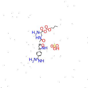 CCCCOC(=O)OC(=O)C(N)CNC(=O)C[C@H]1C[C@@H](c2ccc(C(=N)N)cc2)NO1.CS(=O)(=O)O